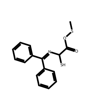 CSOC(=O)C(S)N=C(c1ccccc1)c1ccccc1